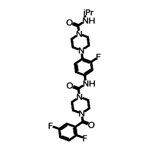 CC(C)NC(=O)N1CCN(c2ccc(NC(=O)N3CCN(C(=O)c4cc(F)ccc4F)CC3)cc2F)CC1